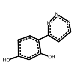 Oc1ccc(-c2ccnnn2)c(O)c1